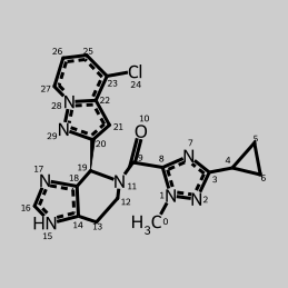 Cn1nc(C2CC2)nc1C(=O)N1CCc2[nH]cnc2[C@H]1c1cc2c(Cl)cccn2n1